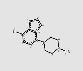 CN1CCN(c2ncc(Br)c3nccn23)CC1